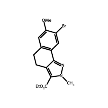 CCOC(=O)c1c2c(nn1C)-c1cc(Br)c(OC)cc1CC2